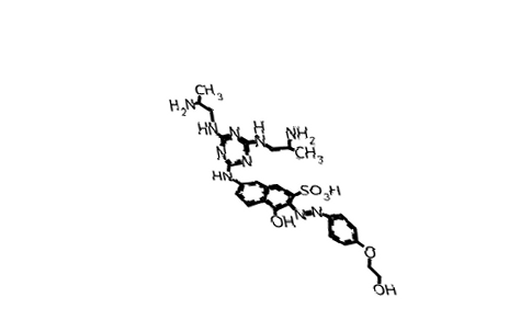 CC(N)CNc1nc(NCC(C)N)nc(Nc2ccc3c(O)c(N=Nc4ccc(OCCO)cc4)c(S(=O)(=O)O)cc3c2)n1